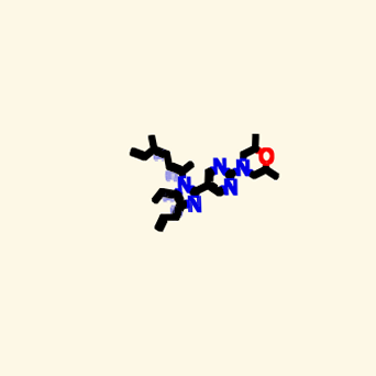 C=C/C=c1/nc(-c2cnc(N3CC(C)OC(C)C3)nc2)n(/C(C)=C/C=C(/C)C=C)/c1=C/C